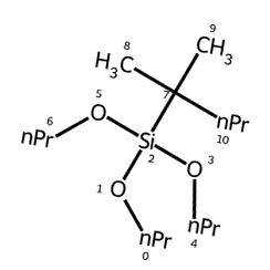 CCCO[Si](OCCC)(OCCC)C(C)(C)CCC